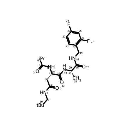 CC(C)C(=O)N[C@@H](CC(=O)NCC(C)(C)C)C(=O)N[C@@H](C)C(=O)NCc1ccc(F)cc1F